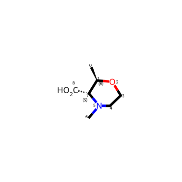 C[C@H]1OCCN(C)[C@@H]1C(=O)O